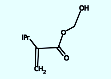 C=C(C(=O)OCO)C(C)C